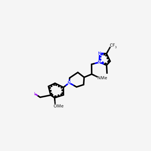 CNC(Cn1nc(C(F)(F)F)cc1C)C1CCN(c2ccc(CI)c(OC)c2)CC1